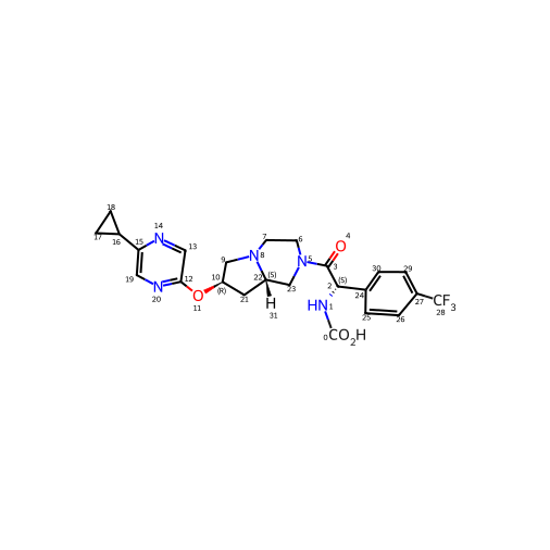 O=C(O)N[C@H](C(=O)N1CCN2C[C@H](Oc3cnc(C4CC4)cn3)C[C@H]2C1)c1ccc(C(F)(F)F)cc1